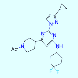 CC(=O)N1CCC(c2cc(NC3CCC(F)(F)CC3)nc(-n3ccc(C4CC4)n3)n2)CC1